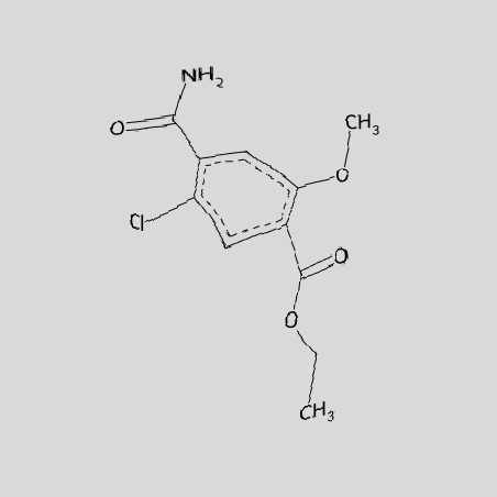 CCOC(=O)c1cc(Cl)c(C(N)=O)cc1OC